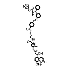 Cn1nc(C(=O)NCCCOC(=O)c2ccc(COc3cccc([C@@H](NC(=O)OC4CN5CCC4CC5)c4ccccc4)c3)cc2)cc1CNCC(O)c1ccc(O)c2[nH]c(=O)ccc12